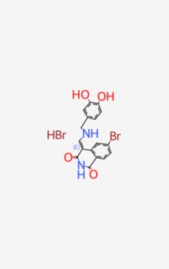 Br.O=C1NC(=O)c2ccc(Br)cc2/C1=C\NCc1ccc(O)c(O)c1